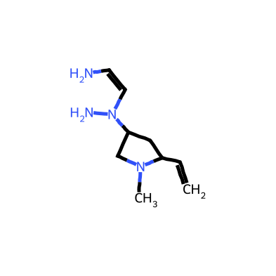 C=CC1CC(N(N)/C=C\N)CN1C